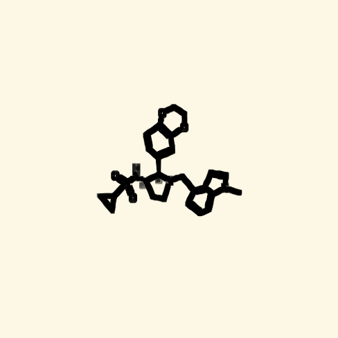 Cn1ccc2c(CN3CC[C@H](NS(=O)(=O)C4CC4)[C@H]3c3ccc4c(c3)OCCO4)cccc21